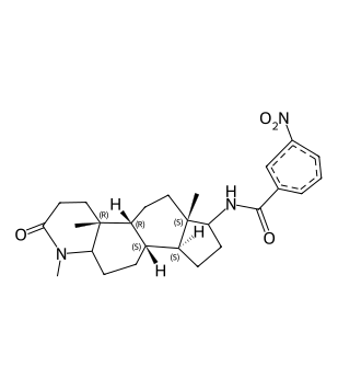 CN1C(=O)CC[C@@]2(C)C1CC[C@@H]1[C@H]2CC[C@]2(C)C(NC(=O)c3cccc([N+](=O)[O-])c3)CC[C@@H]12